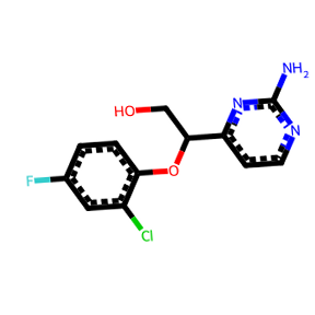 Nc1nccc(C(CO)Oc2ccc(F)cc2Cl)n1